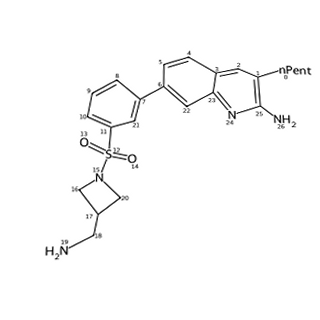 CCCCCc1cc2ccc(-c3cccc(S(=O)(=O)N4CC(CN)C4)c3)cc2nc1N